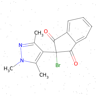 Cc1nn(C)c(C)c1C1(Br)C(=O)c2ccccc2C1=O